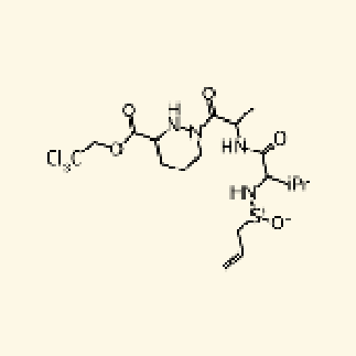 C=CC[S+]([O-])NC(C(=O)NC(C)C(=O)N1CCCC(C(=O)OCC(Cl)(Cl)Cl)N1)C(C)C